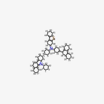 c1ccc(-n2c3cc(-c4ccc(N(c5ccc(-c6cc7ccccc7c7ccccc67)cc5)c5ccc6c(c5)sc5ccccc56)cc4)ccc3c3ccc4ccccc4c32)cc1